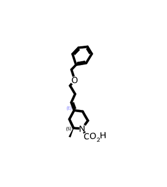 C[C@H]1C/C(=C/CCOCc2ccccc2)CCN1C(=O)O